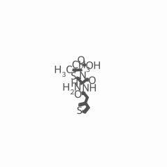 CC1(C)S[C@H]2N(C(=O)[C@]2(N)NC(=O)Cc2ccsc2)[C@H]1C(=O)O